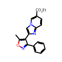 CCOC(=O)c1ccc2nc(-c3c(-c4ccccc4)noc3C)cn2c1